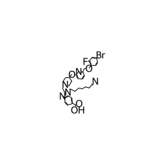 N#CCCCCCCn1c(CN2CCC(Oc3cccc(COc4ccc(Br)cc4F)n3)CC2)nc2ccc(C(=O)O)cc21